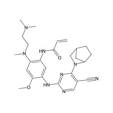 C=CC(=O)Nc1cc(Nc2ncc(C#N)c(N3CC4CCC3C4)n2)c(OC)cc1N(C)CCN(C)C